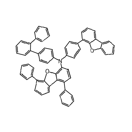 c1ccc(-c2ccccc2-c2ccc(N(c3ccc(-c4cccc5c4oc4ccccc45)cc3)c3ccc(-c4ccccc4)c4c3oc3c(-c5ccccc5)cccc34)cc2)cc1